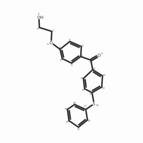 O=C(c1ccc(OCCO)cc1)c1ccc(Sc2cc[c]cc2)cc1